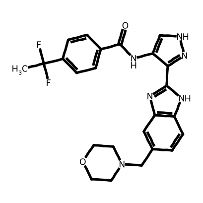 CC(F)(F)c1ccc(C(=O)Nc2c[nH]nc2-c2nc3cc(CN4CCOCC4)ccc3[nH]2)cc1